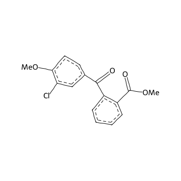 COC(=O)c1ccccc1C(=O)c1ccc(OC)c(Cl)c1